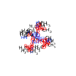 CC(=O)NC1C(OCCOCCNC(=O)CCC(CCC(=O)NCCOCCOC2OC(COC(C)=O)C(OC(C)=O)C(OC(C)=O)C2NC(C)=O)(CCC(=O)NCCOCCOC2OC(COC(C)=O)C(OC(C)=O)C(OC(C)=O)C2NC(C)=O)NC(=O)c2ccc(OP(OCCC=N)N(C(C)C)C(C)C)cc2)OC(COC(C)=O)C(OC(C)=O)C1OC(C)=O